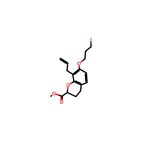 C=CCc1c(OCCCI)ccc2c1OC(C(=O)OC)CC2